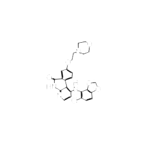 O=c1[nH]c2nccc(Nc3c(Cl)ccc4c3OCO4)c2c2ccc(OCCN3CCOCC3)cc12